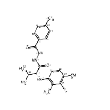 Cc1c(N[C@@H](C(=O)NNC(=O)c2ccc(C(F)(F)F)cc2)[C@H](C)O)ccc(C#N)c1I